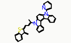 C=c1/c(=C\C=C(/C)n2c3ccccc3c3c4c5ccccc5n(-c5ccccn5)c4ccc32)sc2ccccc12